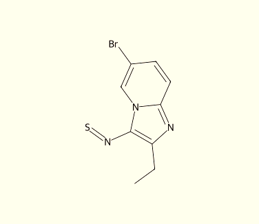 CCc1nc2ccc(Br)cn2c1N=S